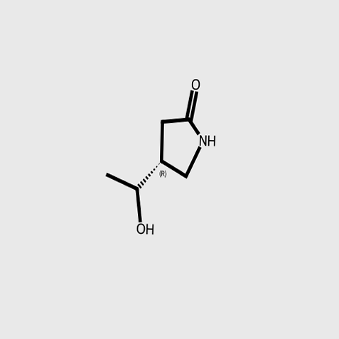 CC(O)[C@H]1CNC(=O)C1